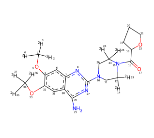 [2H]C([2H])([2H])Oc1cc2nc(N3CC([2H])([2H])N(C(=O)C4CCCO4)C([2H])([2H])C3)nc(N)c2cc1OC([2H])([2H])[2H]